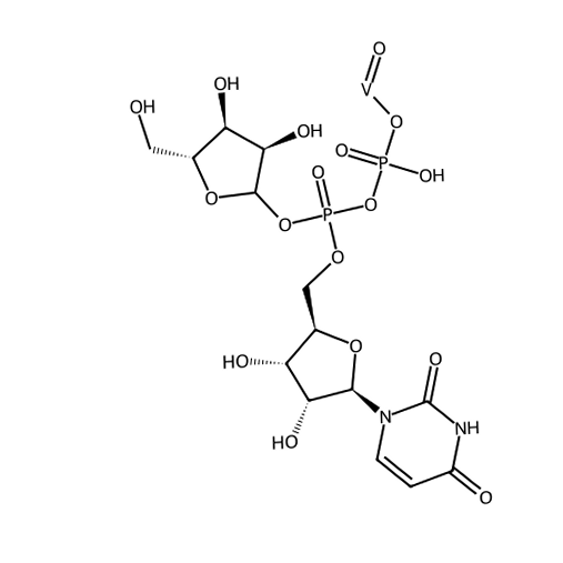 [O]=[V][O]P(=O)(O)OP(=O)(OC[C@H]1O[C@@H](n2ccc(=O)[nH]c2=O)[C@H](O)[C@@H]1O)OC1O[C@H](CO)[C@@H](O)[C@H]1O